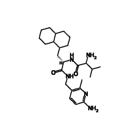 Cc1nc(N)ccc1CNC(=O)[C@H](CC1CCCC2CCCCC21)NC(=O)C(N)C(C)C